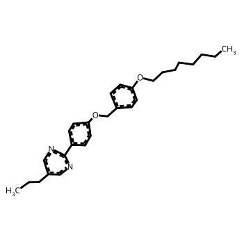 CCCCCCCCOc1ccc(COc2ccc(-c3ncc(CCC)cn3)cc2)cc1